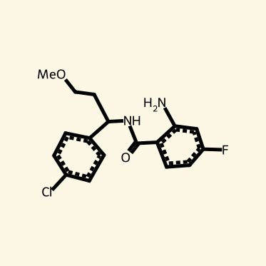 COCCC(NC(=O)c1ccc(F)cc1N)c1ccc(Cl)cc1